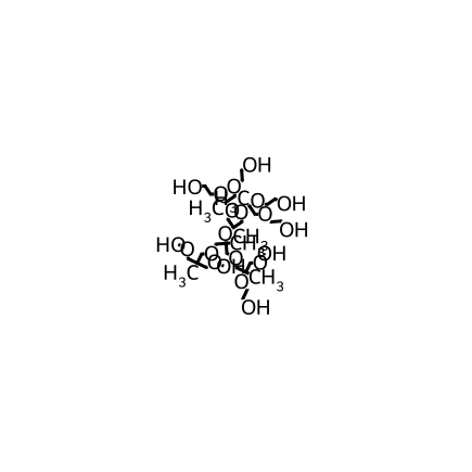 CC(COO)(COO)COCC(C)(COCC(C)(COO)OCCO)OC(C)(COC(C)(COCCO)OCCO)COC(C)(COCCO)OCCO